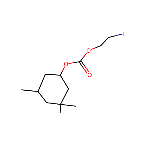 CC1CC(OC(=O)OCCI)CC(C)(C)C1